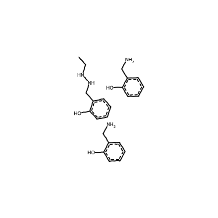 CCNNCc1ccccc1O.NCc1ccccc1O.NCc1ccccc1O